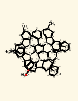 Cc1ccc2c(c1)c1cc(C)ccc1n2-c1c(-c2ccncc2)c(-n2c3ccc(C)cc3c3cc(C)ccc32)c(-n2c3ccc(C)cc3c3cc(C)ccc32)c(-n2c3ccc(C)cc3c3cc(C)ccc32)c1-c1nc(-c2ccccc2)nc(-c2ccccc2)n1